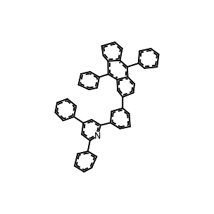 c1ccc(-c2cc(-c3ccccc3)nc(-c3cccc(-c4ccc5c(-c6ccccc6)c6ccccc6c(-c6ccccc6)c5c4)c3)c2)cc1